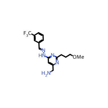 COCCCc1nc(CN)cc(NN=Cc2cccc(C(F)(F)F)c2)n1